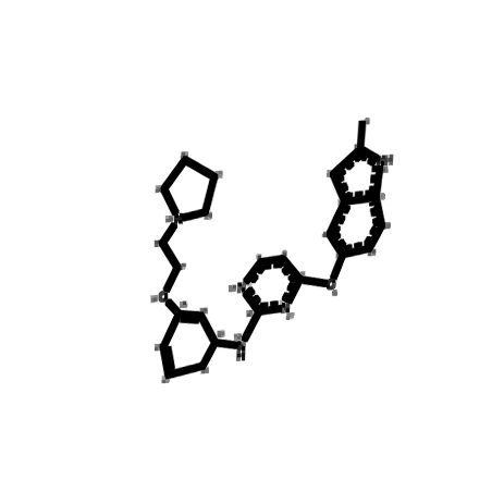 Cc1cc2cc(Oc3ccnc(NC4C=C(OCCN5CCCC5)C=CC4)n3)ccc2[nH]1